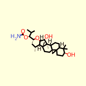 CC(C)[C@@H](OC(N)=O)[C@H]1C[C@@H](C)[C@H]2[C@H](O1)[C@H](O)[C@@]1(C)[C@@H]3CC[C@H]4C(C)(C)[C@@H](O)CCC45C[C@@]35CC[C@]21C